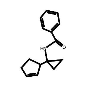 O=C(NC1(C2C=CCC2)CC1)c1ccccc1